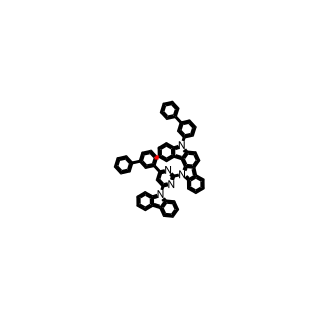 c1ccc(-c2cccc(-c3cc(-n4c5ccccc5c5ccccc54)nc(-n4c5ccccc5c5ccc6c(c7ccccc7n6-c6cccc(-c7ccccc7)c6)c54)n3)c2)cc1